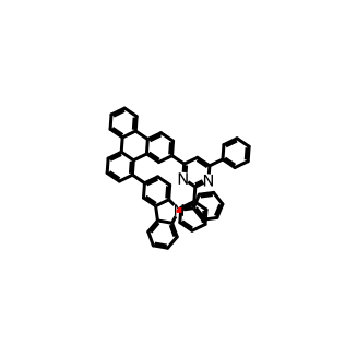 c1ccc(-c2cc(-c3ccc4c5ccccc5c5cccc(-c6ccc7c(c6)c6ccccc6n7-c6ccccc6)c5c4c3)nc(-c3ccccc3)n2)cc1